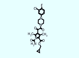 Cc1c(C(=O)C(=O)N2CCN(c3ccc(F)c(Cl)c3)CC2)c(C)n(C(N)=O)c1C(=O)OCC1CC1